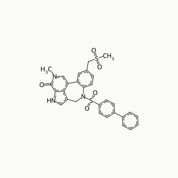 Cn1cc2c3c(c[nH]c3c1=O)CN(S(=O)(=O)c1ccc(-c3ccccc3)cc1)c1ccc(CS(C)(=O)=O)cc1-2